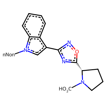 CCCCCCCCCn1cc(-c2noc([C@@H]3CCCN3C(=O)O)n2)c2ccccc21